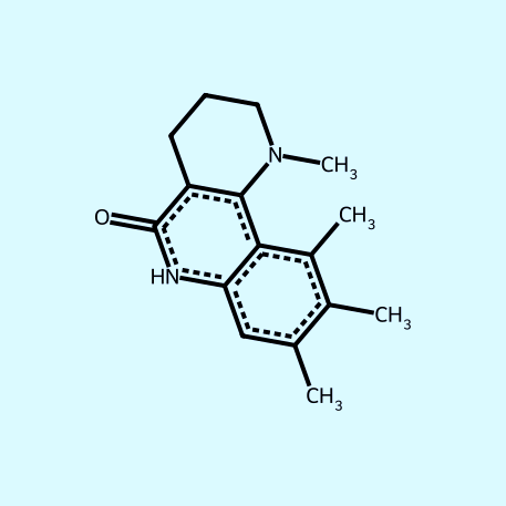 Cc1cc2[nH]c(=O)c3c(c2c(C)c1C)N(C)CCC3